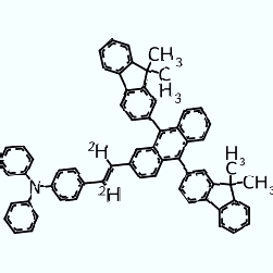 [2H]/C(=C(/[2H])c1ccc2c(-c3ccc4c(c3)C(C)(C)c3ccccc3-4)c3ccccc3c(-c3ccc4c(c3)C(C)(C)c3ccccc3-4)c2c1)c1ccc(N(c2ccccc2)c2ccccc2)cc1